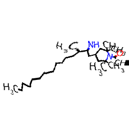 CCCCCCCCCCCCC(C)C(=N)CC1CC(C)(C)N(C(C)=O)C(C)(C)C1